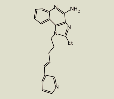 CCc1nc2c(N)nc3ccccc3c2n1CCCC=Cc1cccnc1